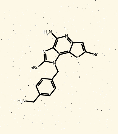 CCCCc1nc2c(N)nc3cc(Br)sc3c2n1Cc1ccc(CN)cc1